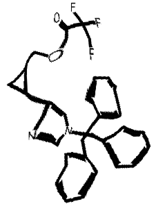 O=C(OCC1CC1c1cn(C(c2ccccc2)(c2ccccc2)c2ccccc2)cn1)C(F)(F)F